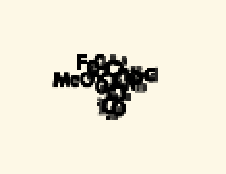 COC(=O)C(=O)c1c(C(F)(F)F)ccc(-n2cc(Cl)cn2)c1-c1ccc2c(c1)CCCO2